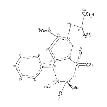 CCCC[C@]1(CC)CS(=O)(=O)c2cc(CC(N)C(=O)O)c(OC)cc2[C@@H](c2ccccc2)N1O